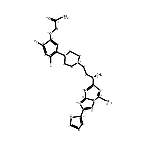 CN(CCN1CCN(c2cc(OCC(N)=O)c(F)cc2F)CC1)c1nc(N)n2nc(-c3ccco3)nc2n1